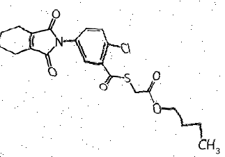 CCCCOC(=O)CSC(=O)c1cc(N2C(=O)C3=C(CCCC3)C2=O)ccc1Cl